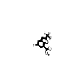 COC(=O)c1cc(F)cc2cc(C(F)(F)F)oc12